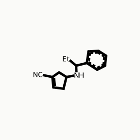 CCC(NC1CC=C(C#N)C1)c1ccccc1